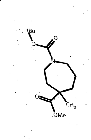 COC(=O)C1(C)CCCN(C(=O)OC(C)(C)C)CC1